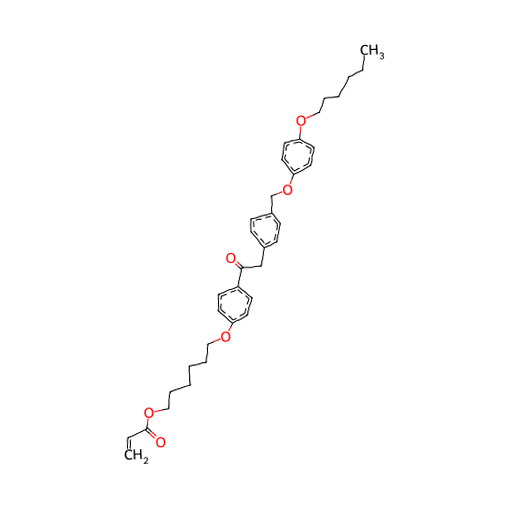 C=CC(=O)OCCCCCCOc1ccc(C(=O)Cc2ccc(COc3ccc(OCCCCCC)cc3)cc2)cc1